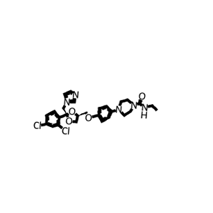 CCNC(=O)N1CCN(c2ccc(OC[C@H]3CO[C@](Cn4ccnc4)(c4ccc(Cl)cc4Cl)O3)cc2)CC1